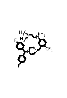 CN(C)CCN(C)c1ccc(C(F)(F)F)c(CN2CCN(C(c3ccc(F)cc3)c3ccc(F)cc3)CC2)c1